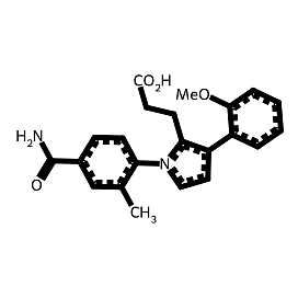 COc1ccccc1-c1ccn(-c2ccc(C(N)=O)cc2C)c1CCC(=O)O